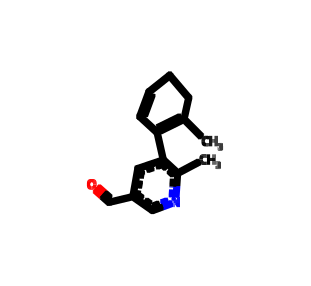 CC1=C(c2cc(C=O)cnc2C)C=CCC1